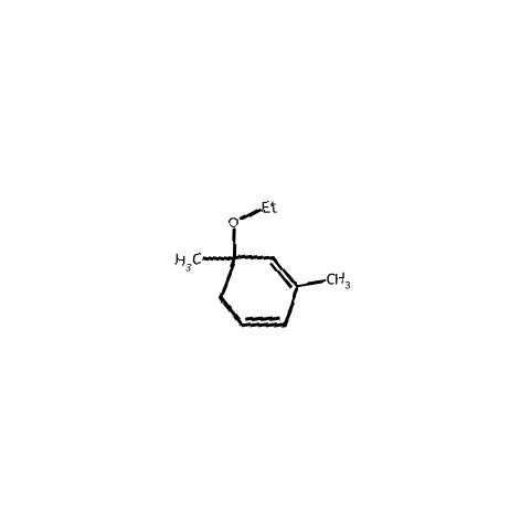 CCOC1(C)C=C(C)C=CC1